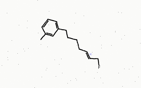 Cc1cccc(CCCC/C=C/CF)c1